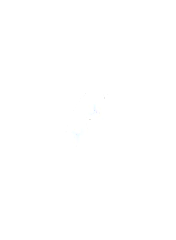 CN1CCc2ccc(C(F)(F)F)nc2C1